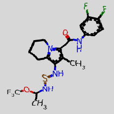 Cc1c(NSNC(C)OC(F)(F)F)c2n(c1C(=O)Nc1ccc(F)c(F)c1)CCCC2